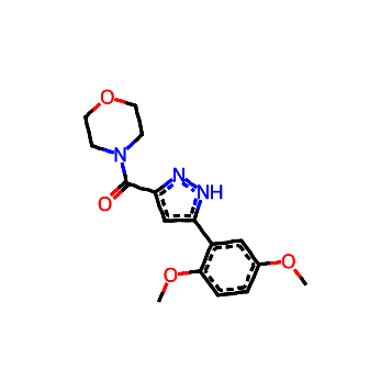 COc1ccc(OC)c(-c2cc(C(=O)N3CCOCC3)n[nH]2)c1